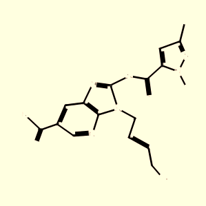 CCn1nc(C)cc1C(=O)Nc1nc2cc(C(N)=O)cnc2n1C/C=C/CO